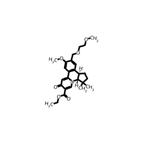 CCOC(=O)c1cn2c(cc1=O)-c1cc(OC)c(COCCOC)cc1[C@H]1CCC(C)(C)[C@@H]12